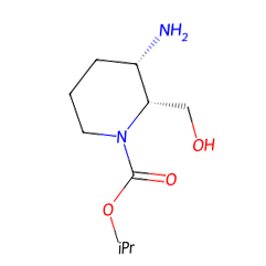 CC(C)OC(=O)N1CCC[C@H](N)[C@@H]1CO